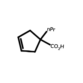 CCCC1(C(=O)O)CC=CC1